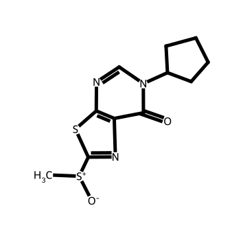 C[S+]([O-])c1nc2c(=O)n(C3CCCC3)cnc2s1